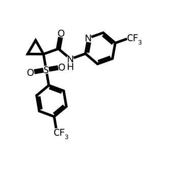 O=C(Nc1ccc(C(F)(F)F)cn1)C1(S(=O)(=O)c2ccc(C(F)(F)F)cc2)CC1